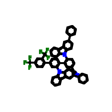 N#Cc1ccc(-n2c3ccccc3c3cc(-c4ccccc4)ccc32)c(-c2ccc(-c3ccc(C(F)(F)F)cc3C(F)(F)F)cc2-n2c3ccccc3c3cc(-c4ccccc4)ccc32)c1